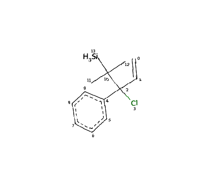 C=CC(Cl)(c1ccccc1)C(C)(C)[SiH3]